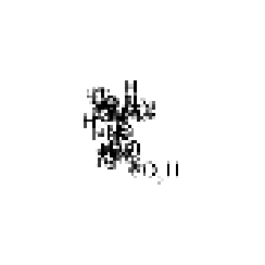 C[C@](Cc1c[nH]c2ccccc12)(NC(=O)O[C@H]1CCCCC1C(F)(F)F)C(=O)N[C@@H](CNC(=O)CCC(=O)O)Cc1ccccc1